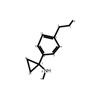 CCCc1ccc(C2(NC)CC2)cc1